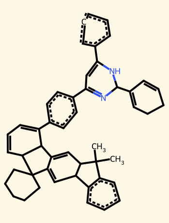 CC1(C)c2ccccc2C2C=C3C(=CC21)C1C(c2ccc(C4=NC(C5=CCCC=C5)NC(c5ccccc5)=C4)cc2)=CC=CC1C31CCCCC1